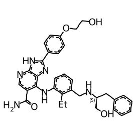 CCc1c(CN[C@H](CO)Cc2ccccc2)cccc1Nc1c(C(N)=O)cnc2[nH]c(-c3ccc(OCCO)cc3)nc12